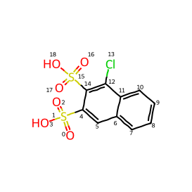 O=S(=O)(O)c1cc2ccccc2c(Cl)c1S(=O)(=O)O